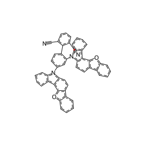 N#Cc1cccc(C#N)c1-c1ccc(-n2c3ccccc3c3c4oc5ccccc5c4ccc32)cc1-n1c2ccccc2c2c3oc4ccccc4c3ccc21